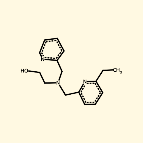 CCc1cccc(CN(CCO)Cc2ccccn2)n1